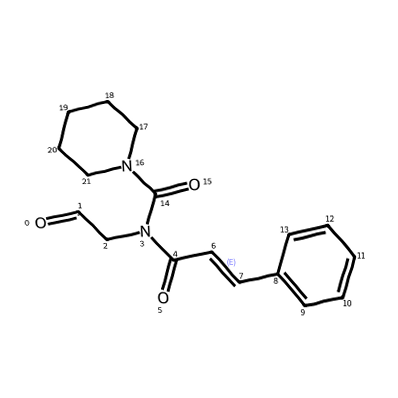 O=[C]CN(C(=O)/C=C/c1ccccc1)C(=O)N1CCCCC1